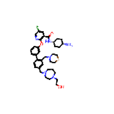 N[C@H]1CC[C@H](NC(=O)c2cc(F)cnc2Oc2cccc(-c3ccc(CN4CCCN(CCO)CC4)cc3CN3CCSCC3)c2)CC1